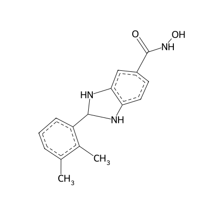 Cc1cccc(C2Nc3ccc(C(=O)NO)cc3N2)c1C